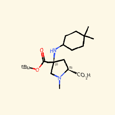 CN1C[C@](NC2CCC(C)(C)CC2)(C(=O)OC(C)(C)C)C[C@H]1C(=O)O